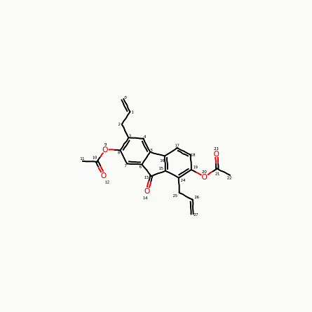 C=CCc1cc2c(cc1OC(C)=O)C(=O)c1c-2ccc(OC(C)=O)c1CC=C